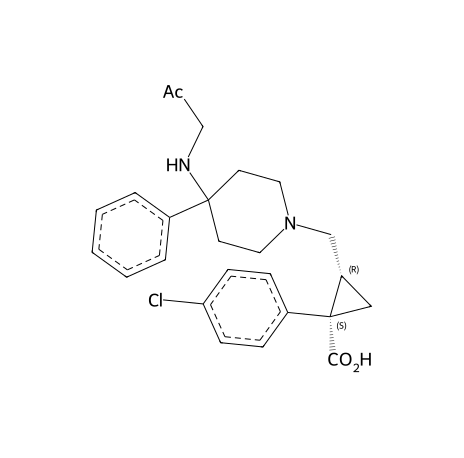 CC(=O)CNC1(c2ccccc2)CCN(C[C@@H]2C[C@@]2(C(=O)O)c2ccc(Cl)cc2)CC1